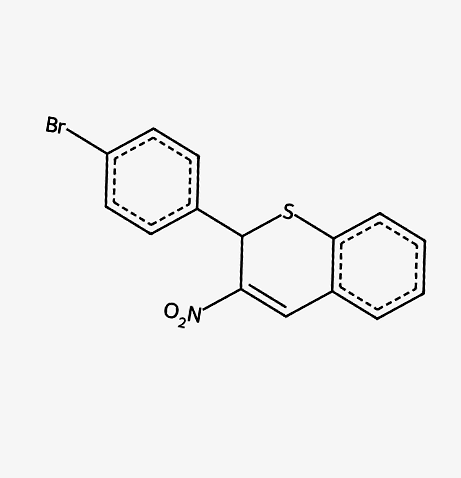 O=[N+]([O-])C1=Cc2ccccc2SC1c1ccc(Br)cc1